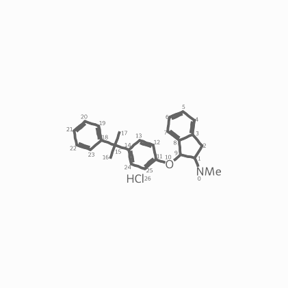 CNC1Cc2ccccc2C1Oc1ccc(C(C)(C)c2ccccc2)cc1.Cl